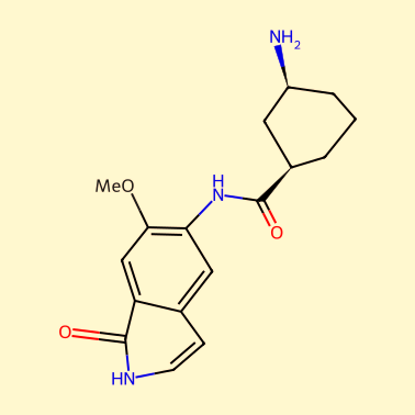 COc1cc2c(=O)[nH]ccc2cc1NC(=O)[C@@H]1CCC[C@H](N)C1